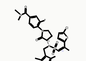 C/C(=C/S(=O)(=O)N(Cc1c(C)noc1C)[C@H]1CCN(c2ccc(C(=O)N(C)C)cc2F)C1=O)c1ccc(Cl)s1